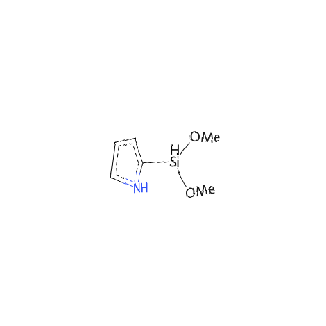 CO[SiH](OC)c1ccc[nH]1